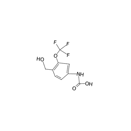 O=C(O)Nc1ccc(CO)c(OC(F)(F)F)c1